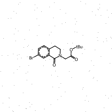 CC(C)(C)OC(=O)CN1CCc2ccc(Br)cc2C1=O